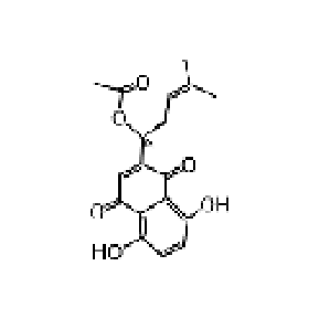 CC(=O)O[C@@H](CC=C(C)C)C1=CC(=O)c2c(O)ccc(O)c2C1=O